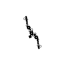 C=CC(=O)OCCCCOc1ccc(C(=O)Oc2cc(C3CCC3)c(OC(=O)c3ccc(OCCCCOC(=O)C=C)cc3)cc2C)cc1